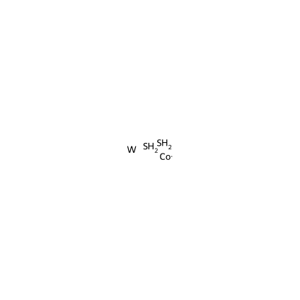 S.S.[Co].[W]